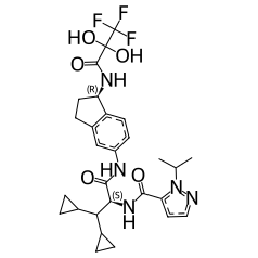 CC(C)n1nccc1C(=O)N[C@H](C(=O)Nc1ccc2c(c1)CC[C@H]2NC(=O)C(O)(O)C(F)(F)F)C(C1CC1)C1CC1